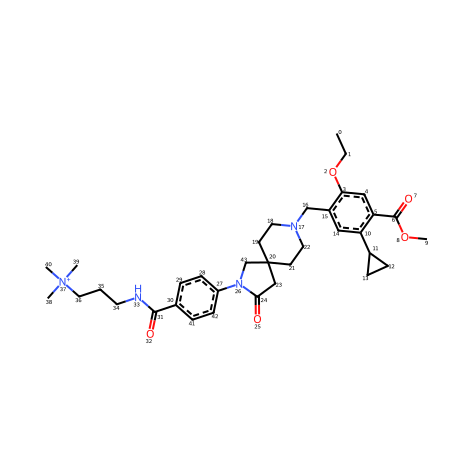 CCOc1cc(C(=O)OC)c(C2CC2)cc1CN1CCC2(CC1)CC(=O)N(c1ccc(C(=O)NCCC[N+](C)(C)C)cc1)C2